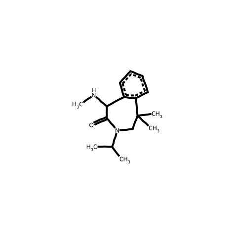 CNC1C(=O)N(C(C)C)CC(C)(C)c2ccccc21